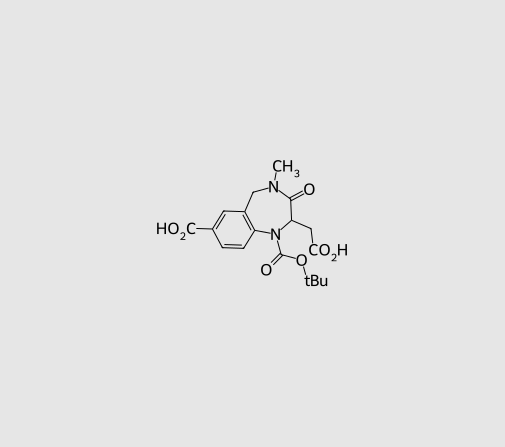 CN1Cc2cc(C(=O)O)ccc2N(C(=O)OC(C)(C)C)C(CC(=O)O)C1=O